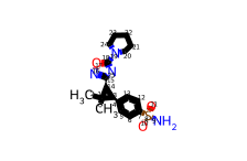 CC1(C)[C@H](c2ccc(S(N)(=O)=O)cc2)[C@H]1c1noc(N2CCCCC2)n1